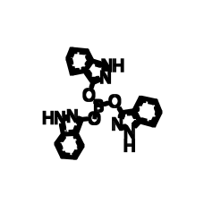 c1ccc2c(OB(Oc3n[nH]c4ccccc34)Oc3n[nH]c4ccccc34)n[nH]c2c1